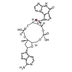 Nc1ncnc2c1ncn2[C@H]1C[C@@H]2OP(=O)(O)OC[C@H]3O[C@@H](n4cnc5c(=O)[nH]c6nccn6c54)[C@H](OP(=O)(O)OC[C@H]2O1)[C@@H]3O